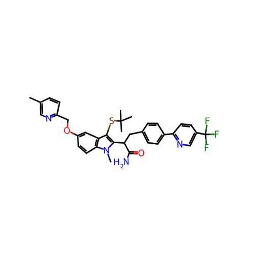 Cc1ccc(COc2ccc3c(c2)c(SC(C)(C)C)c(C(Cc2ccc(-c4ccc(C(F)(F)F)cn4)cc2)C(N)=O)n3C)nc1